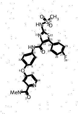 CNC(=O)c1cc(Oc2ccc(NC(=O)c3nc(NS(C)(=O)=O)sc3-c3ccc(F)cc3)cc2)ccn1